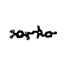 CCc1ccc(/C=C2\SC(=O)N(CCNC(=O)c3ccc(B(O)O)cc3)C2=O)cc1